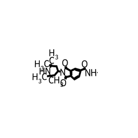 CC1(C)CC(N2C(=O)c3ccc(C([NH])=O)cc3C2=O)CC(C)(C)N1